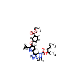 CCCC(C)OC(=O)NCc1c(-c2ccc(O[C@H]3CCC[C@H](C(=O)OC)C3)c(C3CC3)n2)nnn1C